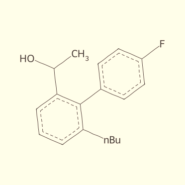 CCCCc1cccc(C(C)O)c1-c1ccc(F)cc1